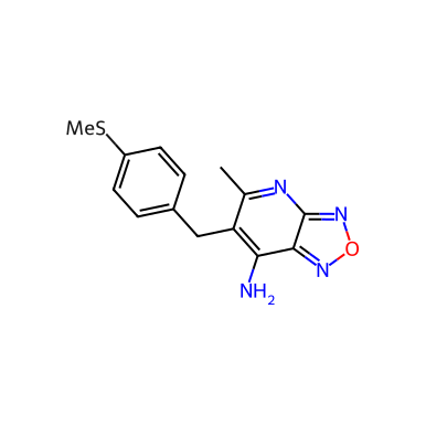 CSc1ccc(Cc2c(C)nc3nonc3c2N)cc1